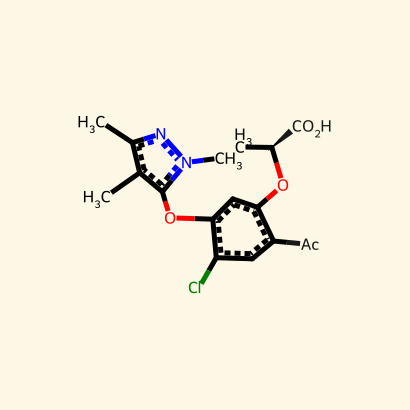 CC(=O)c1cc(Cl)c(Oc2c(C)c(C)nn2C)cc1O[C@@H](C)C(=O)O